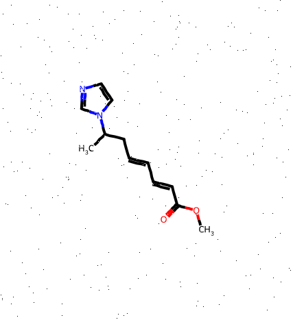 COC(=O)C=CC=CCC(C)n1ccnc1